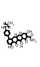 CS(=O)(=O)Nc1ccc(-c2ccc(O)c3c2C[C@H]2C[C@H]4CC(O)=C(C(N)=O)C(=O)C4C(O)=C2C3=O)cc1